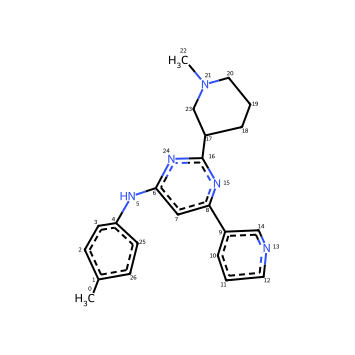 Cc1ccc(Nc2cc(-c3cccnc3)nc(C3CCCN(C)C3)n2)cc1